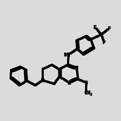 CSc1nc2c(c(Nc3ccc(C(F)(F)F)cc3)n1)CCN(Cc1ccccc1)C2